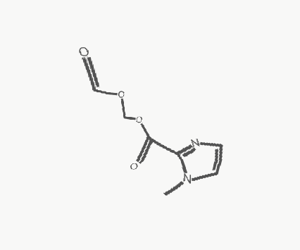 Cn1ccnc1C(=O)OCOC=O